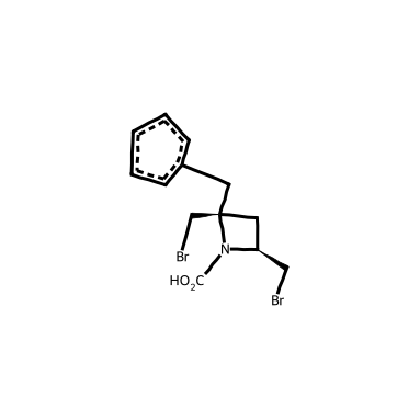 O=C(O)N1[C@H](CBr)C[C@@]1(CBr)Cc1ccccc1